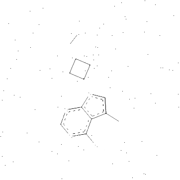 Cc1cn([C@H]2C[C@@H](CO)C2)c2ncnc(N)c12